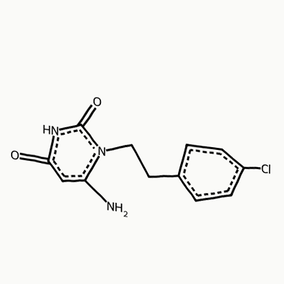 Nc1cc(=O)[nH]c(=O)n1CCc1ccc(Cl)cc1